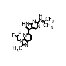 Cc1nc2ccc(-c3c[nH]c4nc(N[C@H](C)C(F)(F)F)ncc34)nc2n1CC(F)F